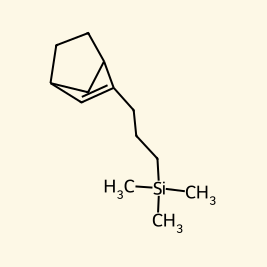 C[Si](C)(C)CCCC1=CC2CCC1C2